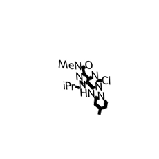 CNC(=O)c1nn(CC(C)C)c2c(Nc3cc(C)ccn3)nc(Cl)nc12